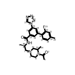 CC(=O)N1CCN(C[C@@H](C)NC(=O)c2cc(-c3ccc(C)cc3F)cc(-n3cnnn3)c2)CC1C